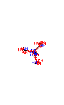 CC(=O)NC1C(OCCOCCOCCNC(=O)CN(CC(=O)NCCOCCOCCOC2OC(CO)C(O)C(O)C2NC(C)=O)C(Cc2ccc(OC(C)C)cc2)C(=O)NCCOCCOCCOC2OC(CO)C(O)C(O)C2NC(C)=O)OC(CO)C(O)C1O